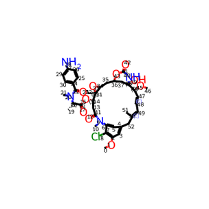 COc1cc2cc(c1Cl)N(C)C(=O)C[C@H](OC(=O)[C@H](C)N(C)C(=O)c1ccc(N)cc1)[C@]1(C)OC1CC1C[C@@](O)(NC(=O)O1)[C@H](OC)/C=C/C=C(\C)C2